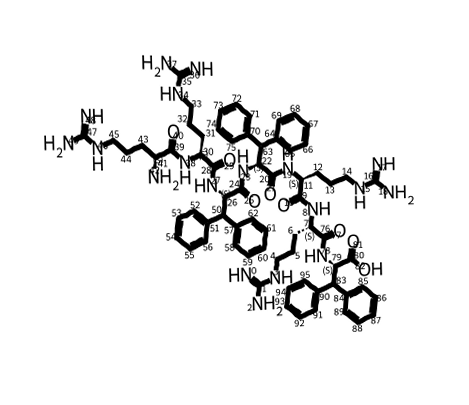 N=C(N)NCCC[C@H](NC(=O)[C@H](CCCNC(=N)N)NC(=O)[C@@H](NC(=O)[C@@H](NC(=O)[C@H](CCCNC(=N)N)NC(=O)[C@@H](N)CCCNC(=N)N)C(c1ccccc1)c1ccccc1)C(c1ccccc1)c1ccccc1)C(=O)N[C@H](C(=O)O)C(c1ccccc1)c1ccccc1